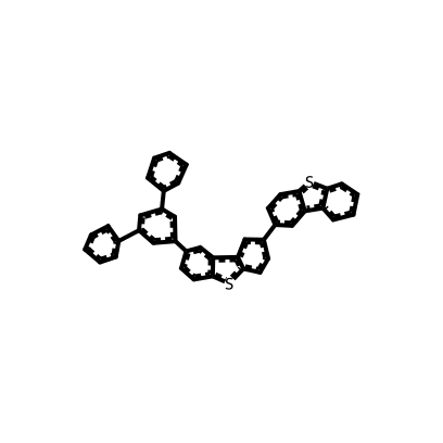 c1ccc(-c2cc(-c3ccccc3)cc(-c3ccc4sc5ccc(-c6ccc7sc8ccccc8c7c6)cc5c4c3)c2)cc1